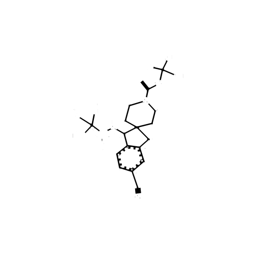 CC(C)(C)OC(=O)N1CCC2(CC1)Cc1cc(C#N)ccc1C2N[S@+]([O-])C(C)(C)C